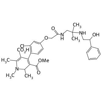 COC(=O)C1=C(c2ccc(OCC(=O)NCC(C)(C)NCC(O)c3ccccc3)cc2Cl)C(C(=O)O)=C(C)N(C)C1C